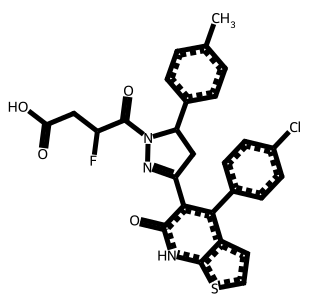 Cc1ccc(C2CC(c3c(-c4ccc(Cl)cc4)c4ccsc4[nH]c3=O)=NN2C(=O)C(F)CC(=O)O)cc1